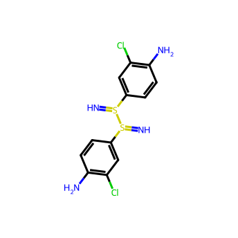 N=S(c1ccc(N)c(Cl)c1)S(=N)c1ccc(N)c(Cl)c1